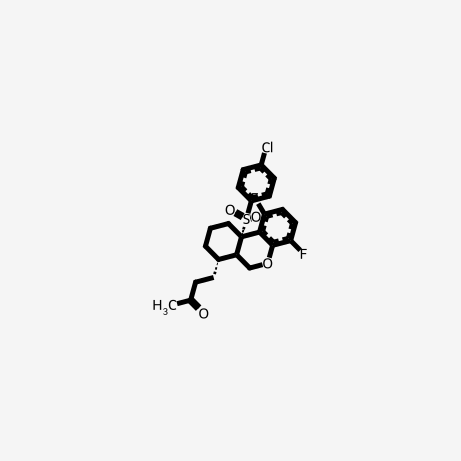 CC(=O)CC[C@@H]1CCC[C@@]2(S(=O)(=O)c3ccc(Cl)cc3)c3c(F)ccc(F)c3OCC12